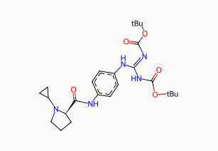 CC(C)(C)OC(=O)/N=C(/NC(=O)OC(C)(C)C)Nc1ccc(NC(=O)[C@H]2CCCN2C2CC2)cc1